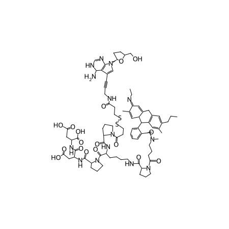 CCCc1cc2c(cc1C)C(c1ccccc1C(=O)N(C)CCCC(=O)N1CCCC1C(=O)NCCCCC(NC(=O)C1CCCN1C(=O)CCSSCCC(=O)NCC#Cc1cn([C@H]3CCC(CO)O3)c3c1C(N)NC=N3)C(=O)N1CCCC1C(=O)NC(CC(=O)O)C(=O)NC(CC(=O)O)C(=O)O)C1C=C(C)/C(=N/CC)C=C1C2